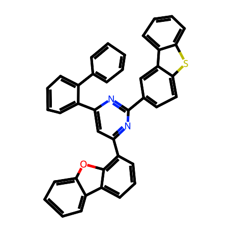 c1ccc(-c2ccccc2-c2cc(-c3cccc4c3oc3ccccc34)nc(-c3ccc4sc5ccccc5c4c3)n2)cc1